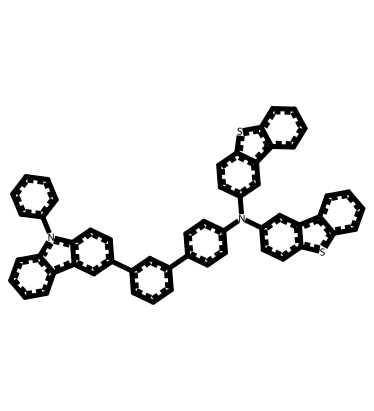 c1ccc(-n2c3ccccc3c3cc(-c4cccc(-c5ccc(N(c6ccc7sc8ccccc8c7c6)c6ccc7sc8ccccc8c7c6)cc5)c4)ccc32)cc1